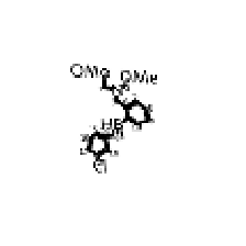 COCN(COC)Cc1ccccc1BOc1cccc(Cl)c1